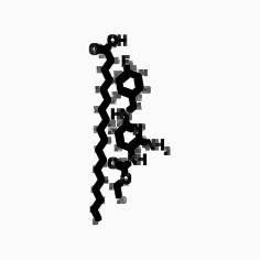 CCCCCCCCCCCCCCCCCC(=O)O.CCOC(=O)Nc1ccc(NCc2ccc(F)cc2)nc1N